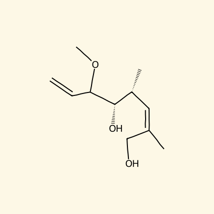 C=CC(OC)[C@@H](O)[C@H](C)/C=C(/C)CO